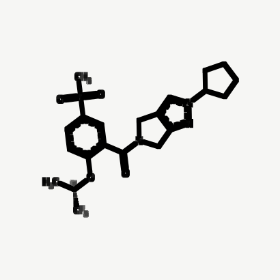 C[C@H](Oc1ccc(S(C)(=O)=O)cc1C(=O)N1Cc2cn(C3CCCC3)nc2C1)C(F)(F)F